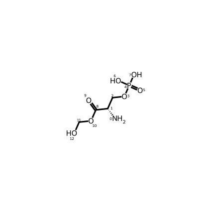 N[C@@H](COP(=O)(O)O)C(=O)OCO